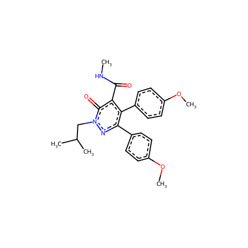 CNC(=O)c1c(-c2ccc(OC)cc2)c(-c2ccc(OC)cc2)nn(CC(C)C)c1=O